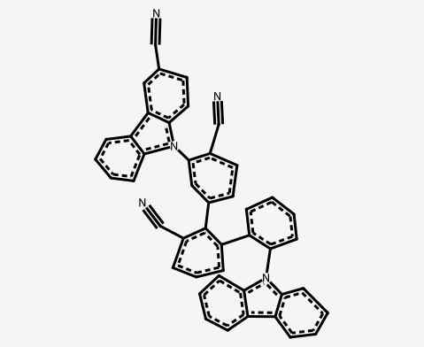 N#Cc1ccc2c(c1)c1ccccc1n2-c1cc(-c2c(C#N)cccc2-c2ccccc2-n2c3ccccc3c3ccccc32)ccc1C#N